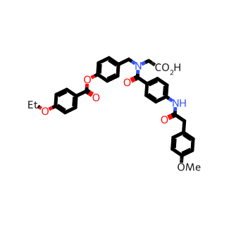 CCOc1ccc(C(=O)Oc2ccc(CN(CC(=O)O)C(=O)c3ccc(NC(=O)Cc4ccc(OC)cc4)cc3)cc2)cc1